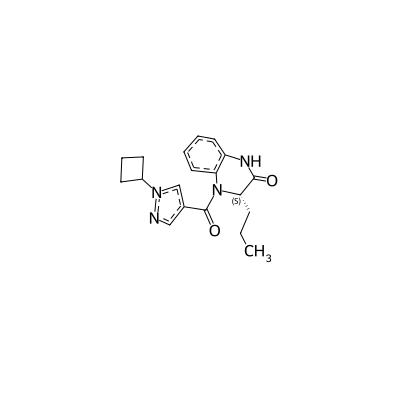 CCC[C@H]1C(=O)Nc2ccccc2N1C(=O)c1cnn(C2CCC2)c1